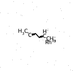 [CH-]=CC=[C-]C.[CH3-].[Rh+3]